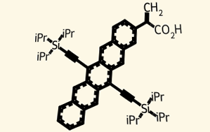 C=C(C(=O)O)c1ccc2cc3c(C#C[Si](C(C)C)(C(C)C)C(C)C)c4cc5ccccc5cc4c(C#C[Si](C(C)C)(C(C)C)C(C)C)c3cc2c1